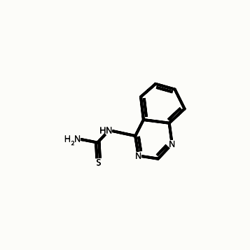 NC(=S)Nc1ncnc2ccccc12